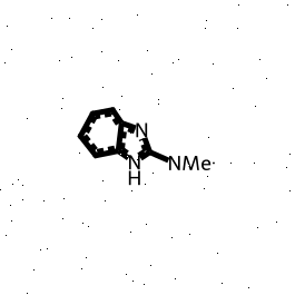 C[N]c1nc2ccccc2[nH]1